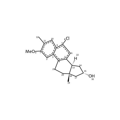 COc1cc2c3c(cc(Cl)c2cc1C)[C@H]1C[C@H](O)C[C@]1(C)CC3